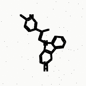 CC(=Cn1c2c(c3ccccc31)CNC=C2)c1ccc(C)nc1